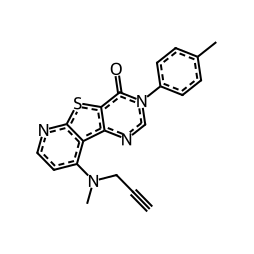 C#CCN(C)c1ccnc2sc3c(=O)n(-c4ccc(C)cc4)cnc3c12